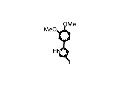 COc1ccc(-c2cc(I)c[nH]2)cc1OC